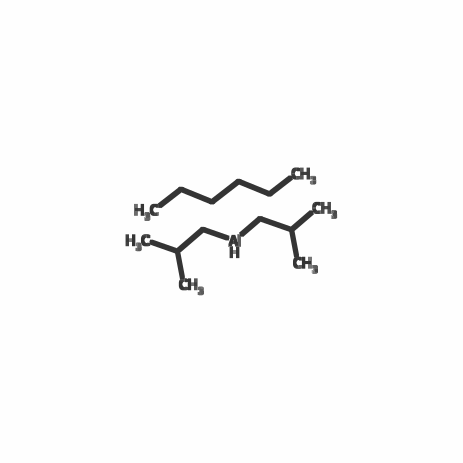 CC(C)[CH2][AlH][CH2]C(C)C.CCCCCC